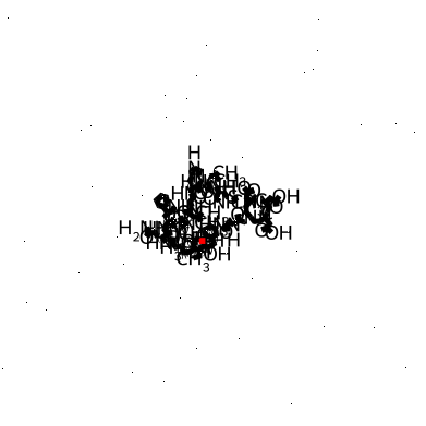 CSCC[C@H](NC(=O)[C@H](CC(C)C)NC(=O)[C@H](Cc1c[nH]cn1)NC(=O)CNC(=O)[C@@H](NC(=O)[C@H](C)NC(=O)[C@H](Cc1c[nH]c2ccccc12)NC(=O)[C@H](CCC(N)=O)NC(=O)CC[C@@H](C)[C@H]1CC[C@H]2[C@@H]3[C@H](O)C[C@@H]4C[C@@H](NC(=O)CNC(=O)CN5CCN(CC(=O)O)CCN(CC(=O)O)CCN(CC(=O)O)CC5)CC[C@]4(C)[C@H]3C[C@H](O)[C@]12C)C(C)C)C(N)=O